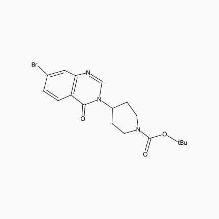 CC(C)(C)OC(=O)N1CCC(n2cnc3cc(Br)ccc3c2=O)CC1